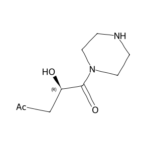 CC(=O)C[C@@H](O)C(=O)N1CCNCC1